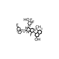 CCc1cccc2cc(O)cc(-c3ncc4c(N5CC(O)C(F)(F)C5)nc(OC[C@@]56CCCN5C[C@H](F)C6)nc4c3F)c12